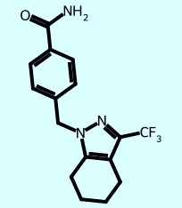 NC(=O)c1ccc(Cn2nc(C(F)(F)F)c3c2CCCC3)cc1